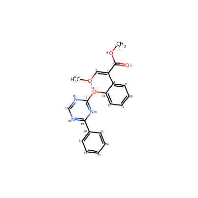 CO/C=C(/C(=O)OC)c1ccccc1Oc1ncnc(-c2ccccc2)n1